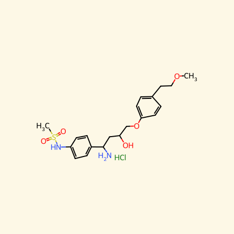 COCCc1ccc(OCC(O)CC(N)c2ccc(NS(C)(=O)=O)cc2)cc1.Cl